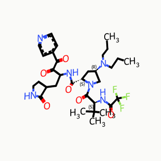 CCCN(CCC)[C@@H]1C[C@@H](C(=O)NC(CC2CCNC2=O)C(=O)C(=O)c2ccncc2)N(C(=O)[C@@H](NC(=O)C(F)(F)F)C(C)(C)C)C1